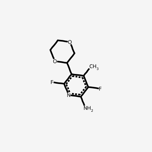 Cc1c(F)c(N)nc(F)c1C1COCCO1